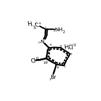 CC(N)=Nc1cccc(Br)c1Cl.Cl